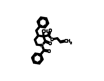 C=CCOC(=O)C1(C)C(=O)N(C(=O)c2ccccc2)CCC1Cc1ccccc1